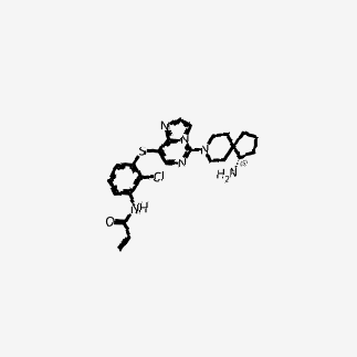 C=CC(=O)Nc1cccc(Sc2cnc(N3CCC4(CCC[C@@H]4N)CC3)n3ccnc23)c1Cl